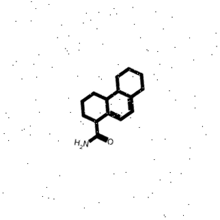 NC(=O)C1CCCC2C1=CC=C1CCCCC12